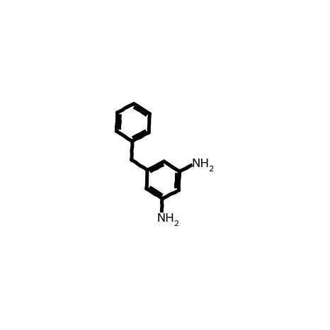 Nc1cc(N)cc(Cc2ccccc2)c1